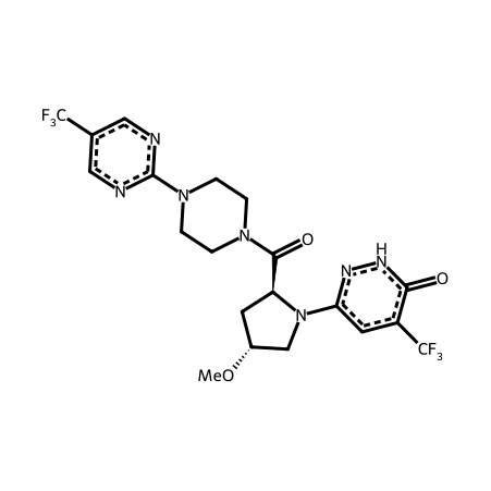 CO[C@@H]1C[C@@H](C(=O)N2CCN(c3ncc(C(F)(F)F)cn3)CC2)N(c2cc(C(F)(F)F)c(=O)[nH]n2)C1